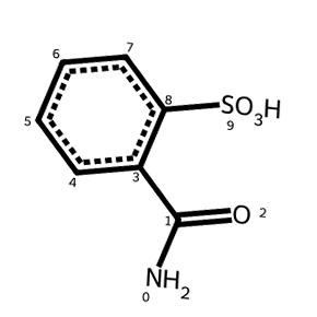 NC(=O)c1ccccc1S(=O)(=O)O